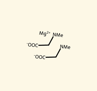 CNCC(=O)[O-].CNCC(=O)[O-].[Mg+2]